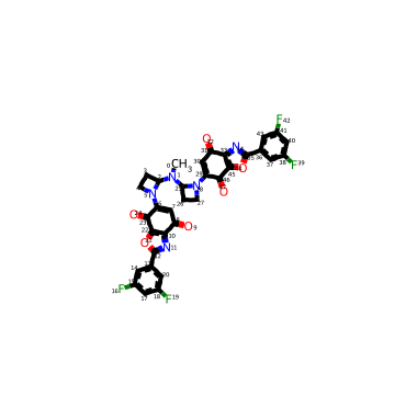 CN(C1CCN1C1=CC(=O)c2nc(-c3cc(F)cc(F)c3)oc2C1=O)C1CCN1C1=CC(=O)c2nc(-c3cc(F)cc(F)c3)oc2C1=O